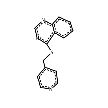 c1ccc2c(SCc3ccncc3)ncnc2c1